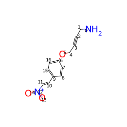 NCC#CCOc1ccc(C=C[N+](=O)[O-])cc1